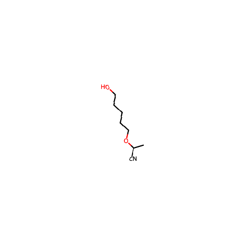 CC(C#N)OCCCCCO